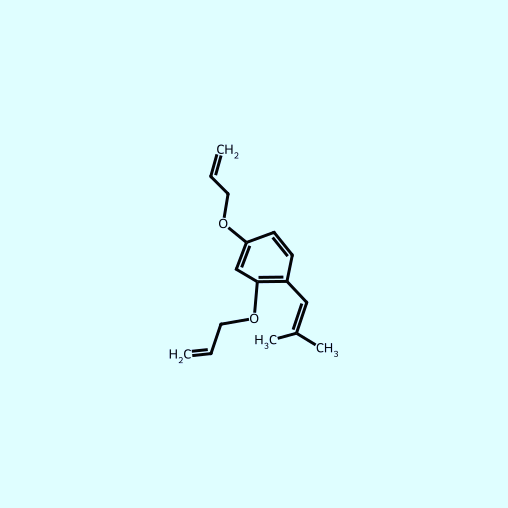 C=CCOc1ccc(C=C(C)C)c(OCC=C)c1